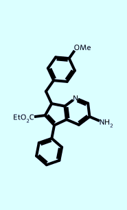 CCOC(=O)C1=C(c2ccccc2)c2cc(N)cnc2C1Cc1ccc(OC)cc1